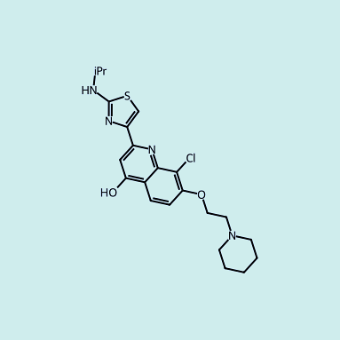 CC(C)Nc1nc(-c2cc(O)c3ccc(OCCN4CCCCC4)c(Cl)c3n2)cs1